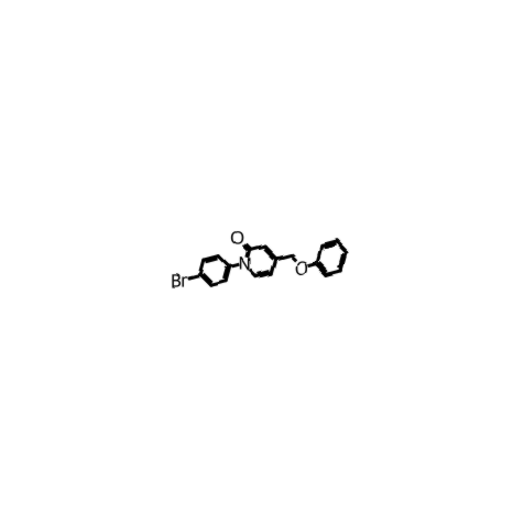 O=c1cc(COc2ccccc2)ccn1-c1ccc(Br)cc1